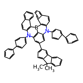 CC1(C)c2ccccc2-c2cc(-c3cc4c5c(c3)N(c3ccc(-c6ccccc6)cc3)c3ccc6ccccc6c3B5c3c(ccc5ccccc35)N4c3ccc(-c4ccccc4)cc3)ccc21